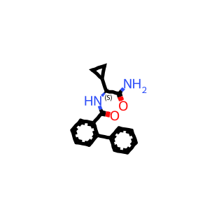 NC(=O)[C@@H](NC(=O)c1ccccc1-c1ccccc1)C1CC1